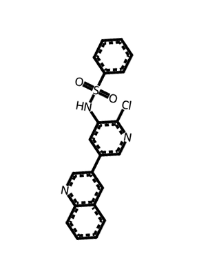 O=S(=O)(Nc1cc(-c2cnc3ccccc3c2)cnc1Cl)c1ccccc1